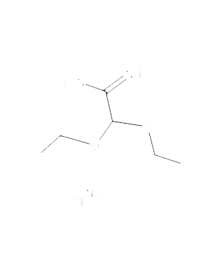 CCOC(OCC)C(=N)N.[Cl-].[Na+]